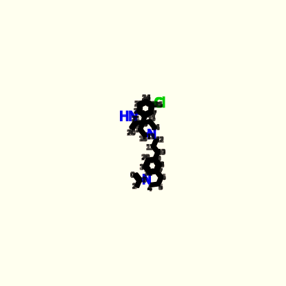 C=C(C)N1CCCc2cc(CCCN3CCC4(CC3)C(=C)Nc3ccc(Cl)cc34)ccc21